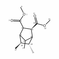 COC(=O)C1C2C(C)C([C@@H]1C(=O)OC)[C@H](C)[C@H]2C